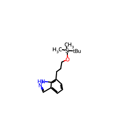 CC(C)(C)[Si](C)(C)OCCCc1cccc2cn[nH]c12